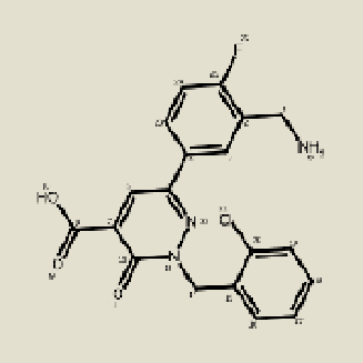 NCc1cc(-c2cc(C(=O)O)c(=O)n(Cc3ccccc3Cl)n2)ccc1F